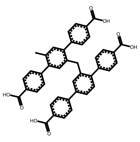 Cc1cc(-c2ccc(C(=O)O)cc2)c(Cc2cc(-c3ccc(C(=O)O)cc3)ccc2-c2ccc(C(=O)O)cc2)cc1-c1ccc(C(=O)O)cc1